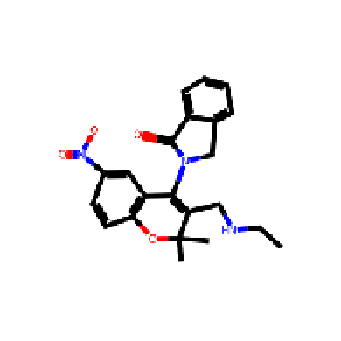 CCNCC1=C(N2Cc3ccccc3C2=O)c2cc([N+](=O)[O-])ccc2OC1(C)C